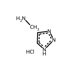 CN.Cl.c1c[nH]nn1